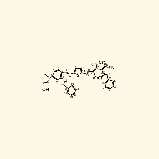 CN(CCO)c1ccc(/C=C/c2ccc(/C=C/C(CC(F)(F)F)=C(\C#N)C(OCc3ccccc3)=C(C#N)C#N)s2)c(OCc2ccccc2)c1